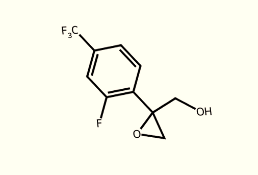 OCC1(c2ccc(C(F)(F)F)cc2F)CO1